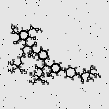 COc1cc(OC)c(Cl)c(N(COCC[Si](C)(C)C)C(=O)N(C)c2cc(N(C(=O)OC(C)(C)C)c3ccc(N4CCN(C(=O)OC(C)(C)C)CC4)cc3N)ncn2)c1Cl